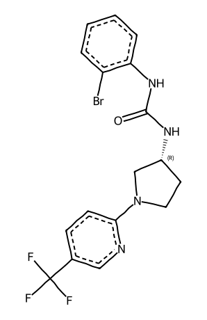 O=C(Nc1ccccc1Br)N[C@@H]1CCN(c2ccc(C(F)(F)F)cn2)C1